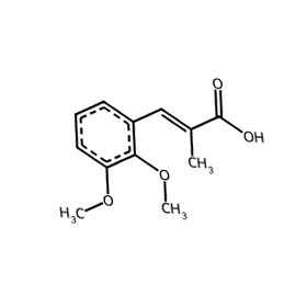 COc1cccc(/C=C(\C)C(=O)O)c1OC